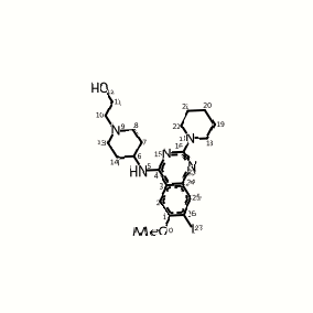 COc1cc2c(NC3CCN(CCO)CC3)nc(N3CCCCC3)nc2cc1I